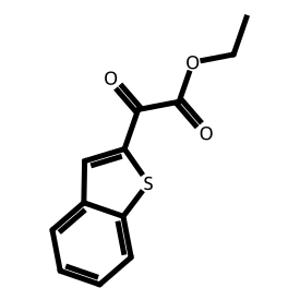 CCOC(=O)C(=O)c1cc2ccccc2s1